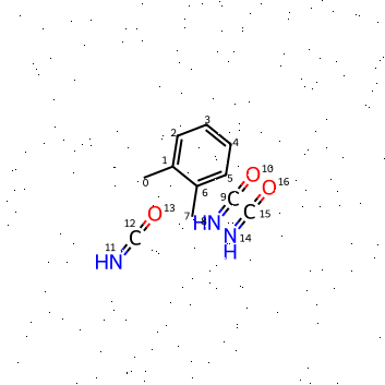 Cc1ccccc1C.N=C=O.N=C=O.N=C=O